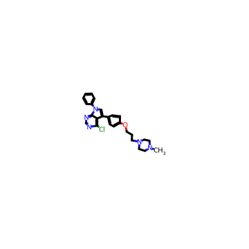 CN1CCN(CCCOc2ccc(-c3cn(-c4ccccc4)c4ncnc(Cl)c34)cc2)CC1